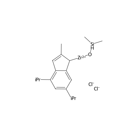 CC1=Cc2c(C(C)C)cc(C(C)C)cc2[CH]1[Zr+2][O][SiH](C)C.[Cl-].[Cl-]